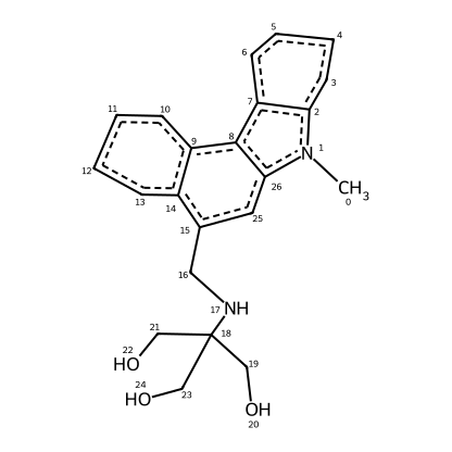 Cn1c2ccccc2c2c3ccccc3c(CNC(CO)(CO)CO)cc21